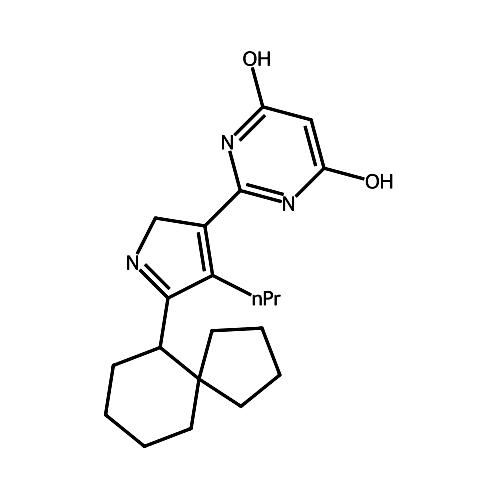 CCCC1=C(c2nc(O)cc(O)n2)CN=C1C1CCCCC12CCCC2